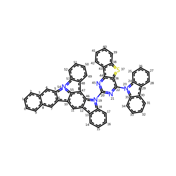 c1ccc2cc3c(cc2c1)c1cc2c4ccccc4n(-c4nc(-n5c6ccccc6c6ccccc65)c5sc6ccccc6c5n4)c2c2c4ccccc4n3c12